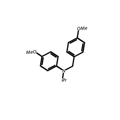 COc1ccc(CN(c2ccc(OC)cc2)C(C)C)cc1